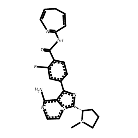 CN1CCC[C@H]1c1nc(-c2ccc(C(=O)NC3=NC=CCC=C3)c(F)c2)c2c(N)nccn12